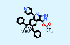 COC(c1ccccc1)c1cc2c(-c3ccncc3)nc3[nH]nc(OC(=O)C(F)(F)F)c3c2cc1C(OC)c1ccccc1